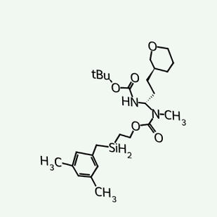 Cc1cc(C)cc(C[SiH2]CCOC(=O)N(C)[C@@H](CC[C@@H]2CCCOC2)NC(=O)OC(C)(C)C)c1